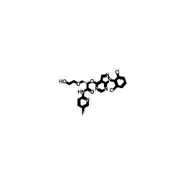 O=C(Nc1ccc(F)cn1)[C@H](COCCO)Oc1ncnc2c1cnn2-c1c(Cl)cccc1Cl